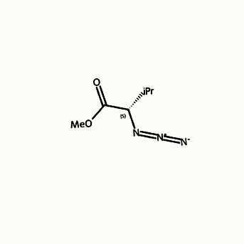 COC(=O)[C@@H](N=[N+]=[N-])C(C)C